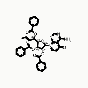 CC=C[C@@H](OC(=O)c1ccccc1)[C@H]1O[C@@H](n2ccc(=O)c3c(N)ncnc32)[C@H](OC(=O)c2ccccc2)[C@@H]1OC(=O)c1ccccc1